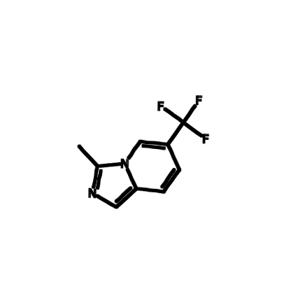 Cc1ncc2ccc(C(F)(F)F)cn12